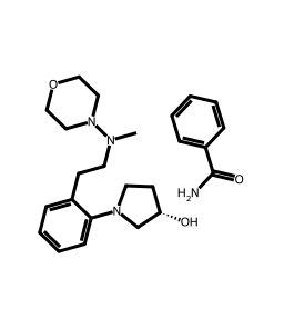 CN(CCc1ccccc1N1CC[C@H](O)C1)N1CCOCC1.NC(=O)c1ccccc1